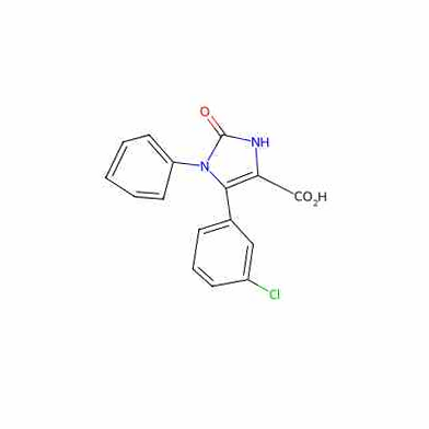 O=C(O)c1[nH]c(=O)n(-c2ccccc2)c1-c1cccc(Cl)c1